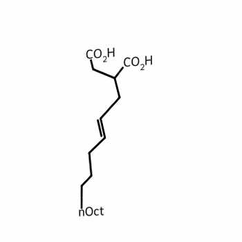 CCCCCCCCCCCC=CCC(CC(=O)O)C(=O)O